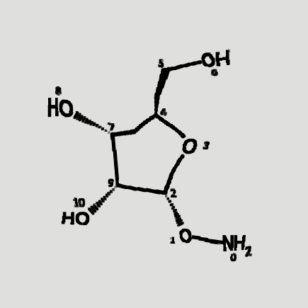 NO[C@H]1O[C@H](CO)[C@@H](O)[C@H]1O